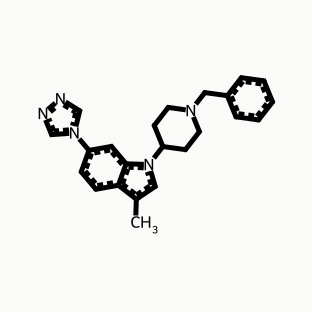 Cc1cn(C2CCN(Cc3ccccc3)CC2)c2cc(-n3cnnc3)ccc12